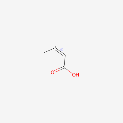 C/[C]=C\C(=O)O